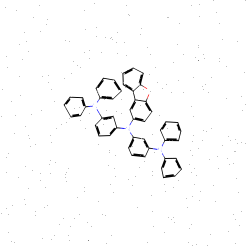 c1ccc(N(c2ccccc2)c2cccc(N(c3cccc(N(c4ccccc4)c4ccccc4)c3)c3ccc4oc5ccccc5c4c3)c2)cc1